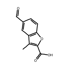 Cc1c(C(=O)O)oc2ccc(C=O)cc12